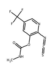 CNC(=O)Oc1cc(C(F)(F)F)cnc1N=C=S